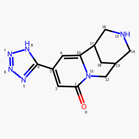 O=c1cc(-c2nnn[nH]2)cc2n1CC1CNCC2C1